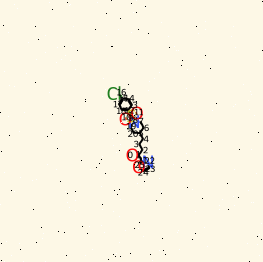 O=C(CCCC1CCN(S(=O)(=O)c2ccc(Cl)cc2)CC1)c1ncco1